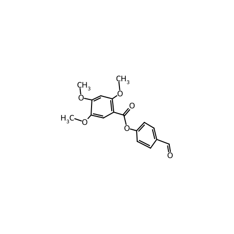 COc1cc(OC)c(C(=O)Oc2ccc(C=O)cc2)cc1OC